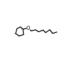 CCCCCCCCO[C]1CC[CH]CC1